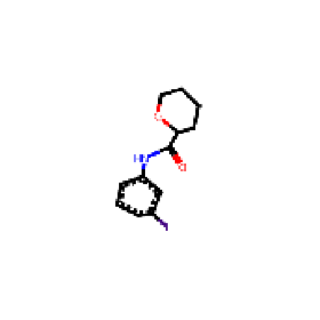 O=C(Nc1cccc(I)c1)C1C[C]CCO1